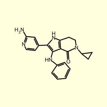 Nc1cc(-c2[nH]c3c(c2Nc2ccccc2)C(=O)N(C2CC2)CC3)ccn1